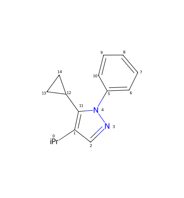 CC(C)c1cnn(-c2ccccc2)c1C1CC1